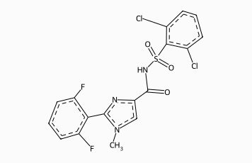 Cn1cc(C(=O)NS(=O)(=O)c2c(Cl)cccc2Cl)nc1-c1c(F)cccc1F